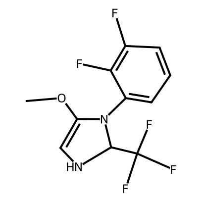 COC1=CNC(C(F)(F)F)N1c1cccc(F)c1F